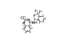 FC(F)(F)c1ccccc1CNc1nc(Cl)nc2ccccc12